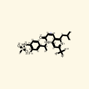 CC(C)Cc1nc(C(F)(F)F)ccc1/C=C\C(=O)NC(C)c1ccc(NS(C)(=O)=O)c(F)c1